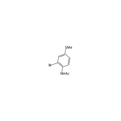 CSc1ccc(NC(C)=O)c(Br)c1